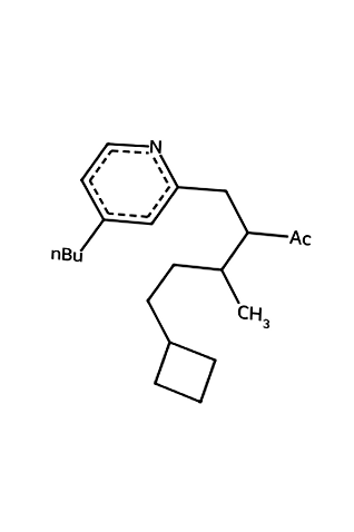 CCCCc1ccnc(CC(C(C)=O)C(C)CCC2CCC2)c1